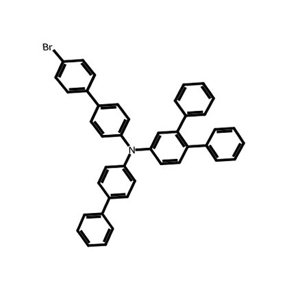 Brc1ccc(-c2ccc(N(c3ccc(-c4ccccc4)cc3)c3ccc(-c4ccccc4)c(-c4ccccc4)c3)cc2)cc1